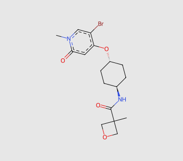 Cn1cc(Br)c(O[C@H]2CC[C@H](NC(=O)C3(C)COC3)CC2)cc1=O